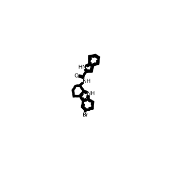 O=C(NC1CCCc2c1[nH]c1ccc(Br)cc21)c1cc2ccccc2[nH]1